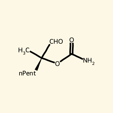 CCCCC[C@@](C)(C=O)OC(N)=O